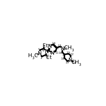 CCC1CN(C)CC(CC)N1c1ncc(CN(C)CC2CCN(C)CC2)cn1